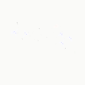 C[C@H]1CN(c2ccc3c(c2)CCC(=O)C(c2cn4cc(Cl)cnc4n2)=C3)CCN1